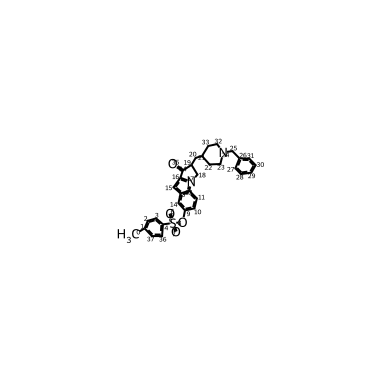 Cc1ccc(S(=O)(=O)Oc2ccc3c(c2)cc2n3CC(CC3CCN(Cc4ccccc4)CC3)C2=O)cc1